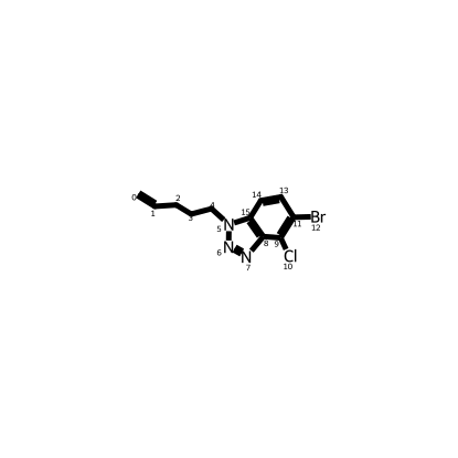 C=CCCCn1nnc2c(Cl)c(Br)ccc21